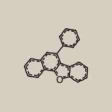 c1ccc(-c2cc3ccccc3c3oc4ccccc4c23)cc1